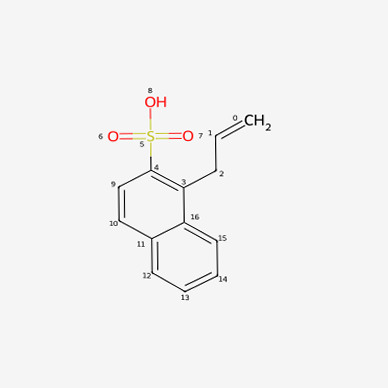 C=CCc1c(S(=O)(=O)O)ccc2ccccc12